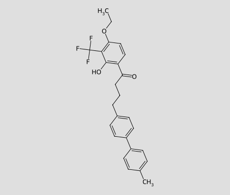 CCOc1ccc(C(=O)CCCc2ccc(-c3ccc(C)cc3)cc2)c(O)c1C(F)(F)F